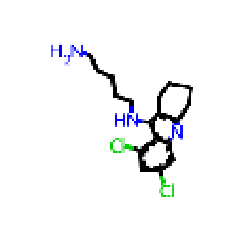 NCCCCCNc1c2c(nc3cc(Cl)cc(Cl)c13)CCCC2